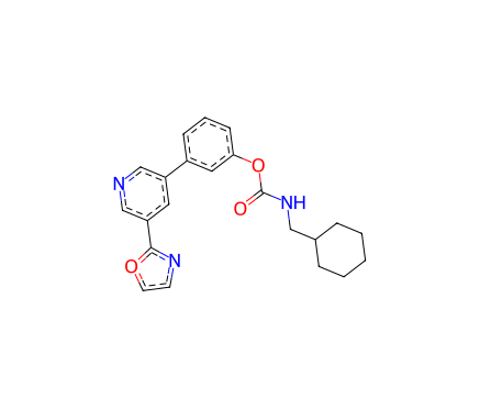 O=C(NCC1CCCCC1)Oc1cccc(-c2cncc(-c3ncco3)c2)c1